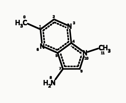 Cc1cnc2c(n1)c(N)cn2C